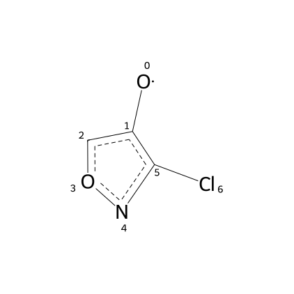 [O]c1conc1Cl